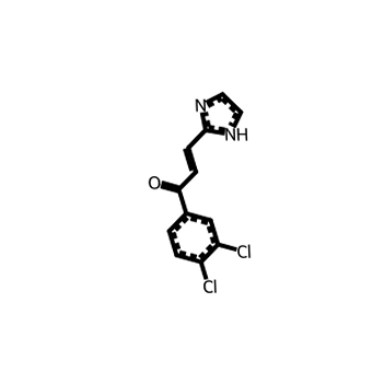 O=C(C=Cc1ncc[nH]1)c1ccc(Cl)c(Cl)c1